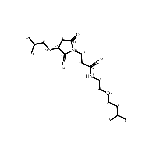 CC(C)CCOCCNC(=O)CCN1C(=O)CC(SCC(C)C)C1=O